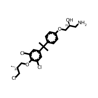 C[C@@H](CCl)COc1c(Cl)cc(C(C)(C)c2ccc(OC[C@@H](O)CN)cc2)cc1Cl